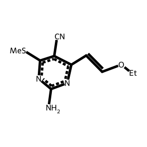 CCOC=Cc1nc(N)nc(SC)c1C#N